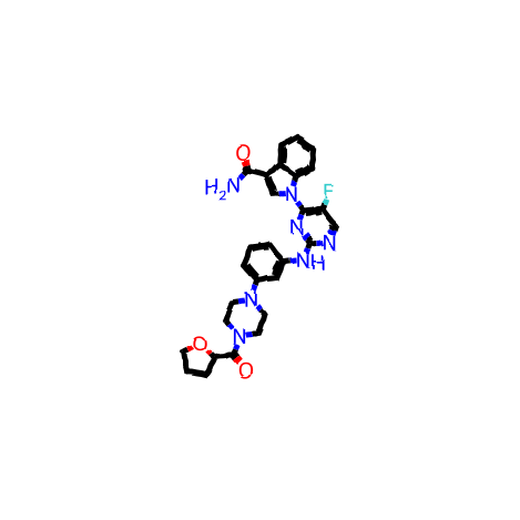 NC(=O)c1cn(-c2nc(Nc3cccc(N4CCN(C(=O)C5CCCO5)CC4)c3)ncc2F)c2ccccc12